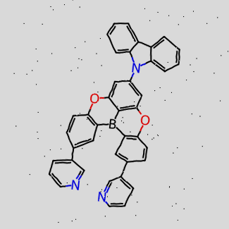 c1cncc(-c2ccc3c(c2)B2c4cc(-c5cccnc5)ccc4Oc4cc(-n5c6ccccc6c6ccccc65)cc(c42)O3)c1